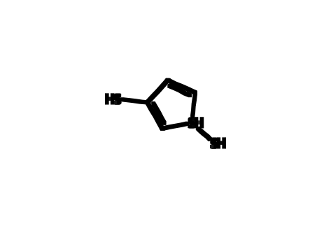 SC1=C[SH](S)C=C1